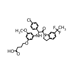 COc1cc(NC(C(=O)N2CCc3ccc(C(C)(F)F)cc32)c2ccc(Cl)cc2)cc(OCCCC(=O)O)c1